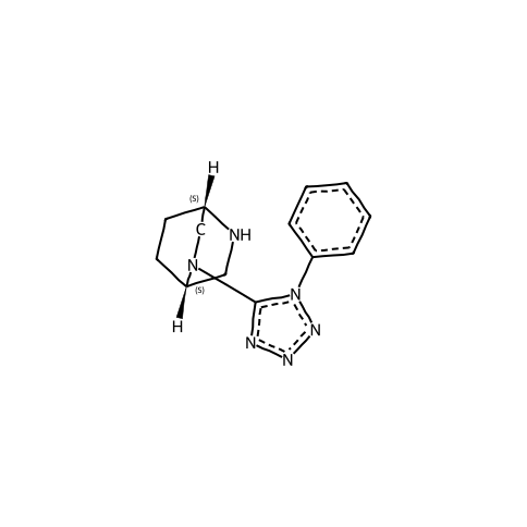 c1ccc(-n2nnnc2N2C[C@@H]3CC[C@H]2CN3)cc1